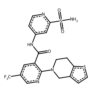 NS(=O)(=O)c1cc(NC(=O)c2cc(C(F)(F)F)cnc2N2CCc3sccc3C2)ccn1